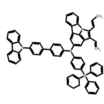 C=Cc1c(C=CC)n2c3ccccc3c3cc(N(c4ccc(-c5ccc(-n6c7ccccc7c7ccccc76)cc5)cc4)c4ccc([Si](C5=CC=CCC5)(c5ccccc5)c5ccccc5)cc4)cc1c32